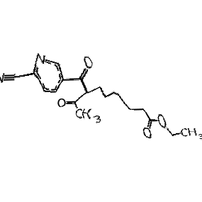 CCOC(=O)CCCCCC(C(C)=O)C(=O)c1ccc(C#N)nc1